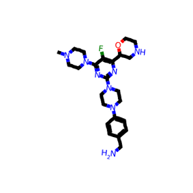 CN1CCN(c2nc(N3CCN(c4ccc(CN)cc4)CC3)nc(C3CNCCO3)c2F)CC1